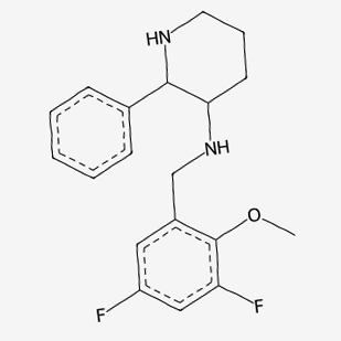 COc1c(F)cc(F)cc1CNC1CCCNC1c1ccccc1